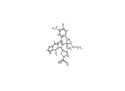 COCC(C)(C)c1c([C@H]2COC(C(=O)O)C2)c2c(F)c3[nH]ncc3cc2n1-c1ccc(F)c(C)c1